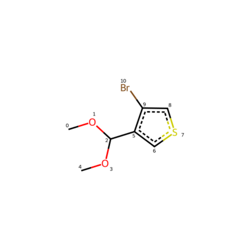 COC(OC)c1cscc1Br